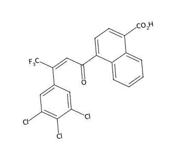 O=C(O)c1ccc(C(=O)/C=C(\c2cc(Cl)c(Cl)c(Cl)c2)C(F)(F)F)c2ccccc12